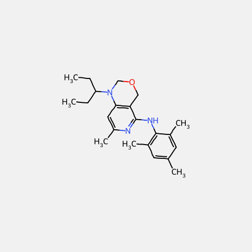 CCC(CC)N1COCc2c1cc(C)nc2Nc1c(C)cc(C)cc1C